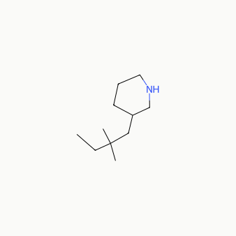 CCC(C)(C)CC1CCCNC1